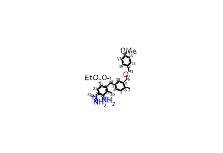 CCOC(=O)C[C@H](c1ccc(C)c(COCc2ccc(OC)cc2)c1)c1ccc(N(C)N)c(N)c1C